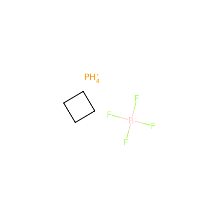 C1CCC1.F[B-](F)(F)F.[PH4+]